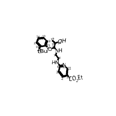 CCOC(=O)c1ccc(NCCNC(Oc2ccccc2C(C)(C)C)C(C)O)nc1